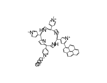 C[n+]1ccc(-c2c3nc(c(-c4cc[n+](C)cc4)c4ccc([nH]4)c(-c4cc(-c5ccc6ccc7cccc8ccc5c6c78)c[n+](C)c4)c4nc(c(-c5cc[n+](C)cc5)c5ccc2[nH]5)C=C4)C=C3)cc1.[Cl-].[Cl-].[Cl-].[Cl-]